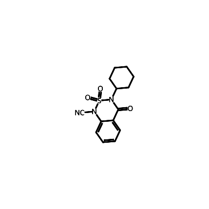 N#CN1c2ccccc2C(=O)N(C2CCCCC2)S1(=O)=O